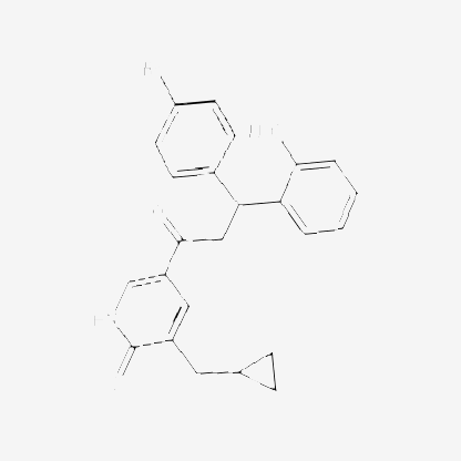 Cc1ccccc1C(CC(=O)c1c[nH]c(=O)c(CC2CC2)c1)c1ccc(Br)cc1